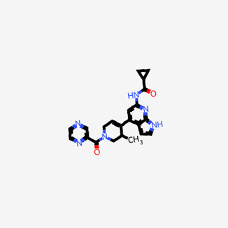 CC1CN(C(=O)c2cnccn2)CC=C1c1cc(NC(=O)C2CC2)nc2[nH]ccc12